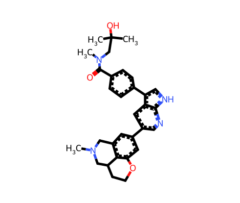 CN1Cc2cc(-c3cnc4[nH]cc(-c5ccc(C(=O)N(C)CC(C)(C)O)cc5)c4c3)cc3c2C(CCO3)C1